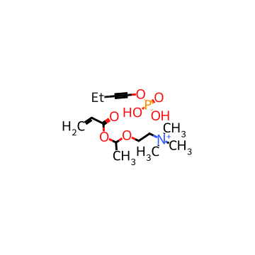 C=CC(=O)OC(C)OCC[N+](C)(C)C.CCC#COP(=O)(O)O